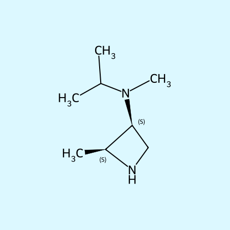 CC(C)N(C)[C@H]1CN[C@H]1C